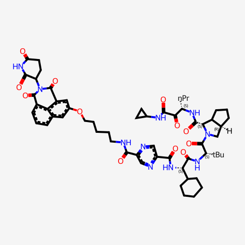 CCC[C@H](NC(=O)[C@@H]1C2CCC[C@H]2CN1C(=O)[C@@H](NC(=O)[C@@H](NC(=O)c1cnc(C(=O)NCCCCCOc2cc3c4c(cccc4c2)C(=O)N(C2CCC(=O)NC2=O)C3=O)cn1)C1CCCCC1)C(C)(C)C)C(=O)C(=O)NC1CC1